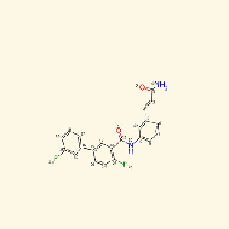 NC(=O)/C=C/c1cccc(NC(=O)c2cc(-c3cccc(F)c3)ccc2F)c1